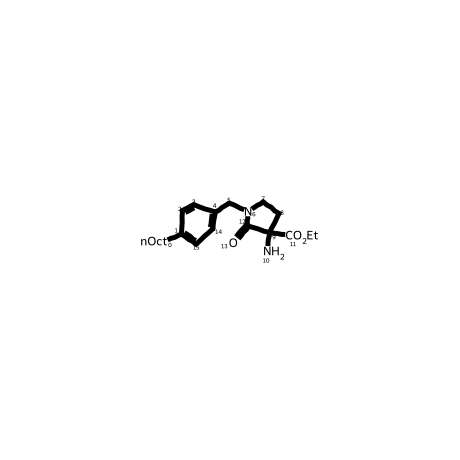 CCCCCCCCc1ccc(CN2CCC(N)(C(=O)OCC)C2=O)cc1